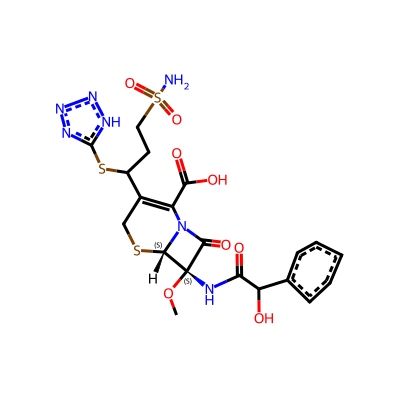 CO[C@@]1(NC(=O)C(O)c2ccccc2)C(=O)N2C(C(=O)O)=C(C(CCS(N)(=O)=O)Sc3nnn[nH]3)CS[C@H]21